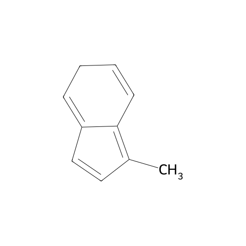 CC1=C2C=CCC=C2C=C1